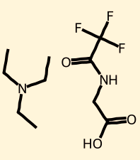 CCN(CC)CC.O=C(O)CNC(=O)C(F)(F)F